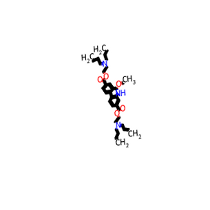 C=CCCN(CCC=C)CCOC(=O)c1ccc2c(c1)NC(OCC)c1cc(C(=O)OCCN(CCC=C)CCC=C)ccc1-2